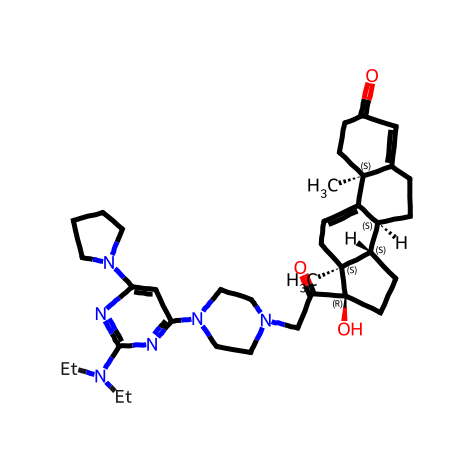 CCN(CC)c1nc(N2CCCC2)cc(N2CCN(CC(=O)[C@@]3(O)CC[C@H]4[C@@H]5CCC6=CC(=O)CC[C@]6(C)C5=CC[C@@]43C)CC2)n1